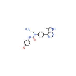 COc1ccc(NC(=O)N(CCN)c2ccc(-c3ncnc4[nH]cc(C)c34)cc2)cc1